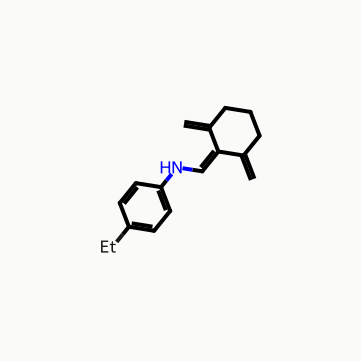 C=C1CCCC(=C)C1=CNc1ccc(CC)cc1